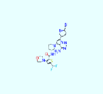 N#Cc1ccc(-c2cc(N3CCCC(NC(=O)c4sc(C(F)F)cc4N4CCOCC4)C3)c3c(N)ncnn23)cn1